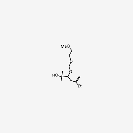 C=C(CC)CC(OCOCCOC)C(C)(C)O